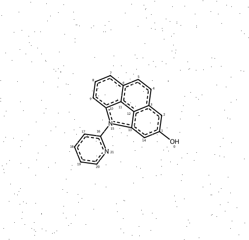 Oc1cc2ccc3cccc4c3c2c(c1)n4-c1ccccn1